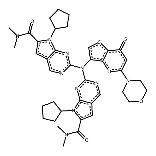 CN(C)C(=O)c1cc2cnc(N(c3ncc4cc(C(=O)N(C)C)n(C5CCCC5)c4n3)c3csc4c(=S)cc(N5CCOCC5)oc34)nc2n1C1CCCC1